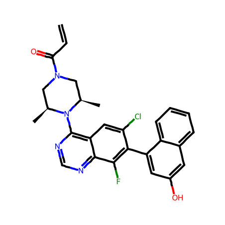 C=CC(=O)N1C[C@@H](C)N(c2ncnc3c(F)c(-c4cc(O)cc5ccccc45)c(Cl)cc23)[C@@H](C)C1